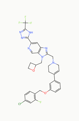 Fc1cc(Cl)ccc1COc1cccc(C2=CCN(Cc3nc4cc(-c5nnc(C(F)(F)F)[nH]5)ncc4n3CC3CCO3)CC2)c1